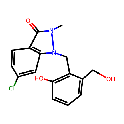 Cn1c(=O)c2ccc(Cl)cc2n1Cc1c(O)cccc1CO